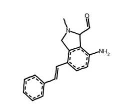 CN1Cc2c(/C=C/c3ccccc3)ccc(N)c2C1C=O